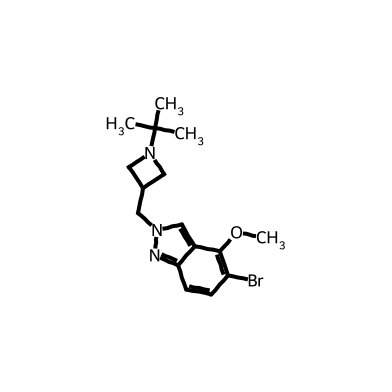 COc1c(Br)ccc2nn(CC3CN(C(C)(C)C)C3)cc12